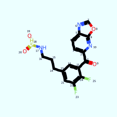 O=C(c1ccc2ncoc2n1)c1cc(CCCN[SH](=O)=O)cc(F)c1F